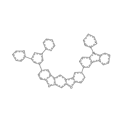 c1ccc(-c2cc(-c3ccccc3)cc(-c3ccc4oc5cc6oc7ccc(-c8ccc9c(c8)c8ccccc8n9-c8ccccc8)cc7c6cc5c4c3)c2)cc1